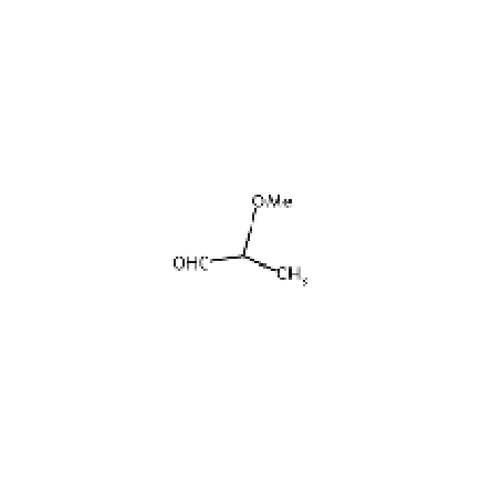 COC(C)C=O